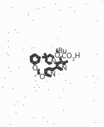 Cc1ncc(-c2ccc(O[C@H](C)COc3ccccc3)cn2)c(N2CCC(C)(C)CC2)c1[C@H](OC(C)(C)C)C(=O)O